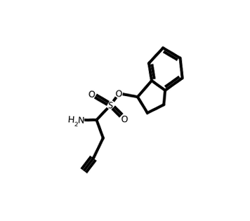 C#CCC(N)S(=O)(=O)OC1CCc2ccccc21